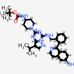 CC(C)c1cnn2c(NCc3ccccc3-c3nccc4cc(N)ccc34)nc(N3CCC(NC(=O)OC(C)(C)C)CC3)nc12